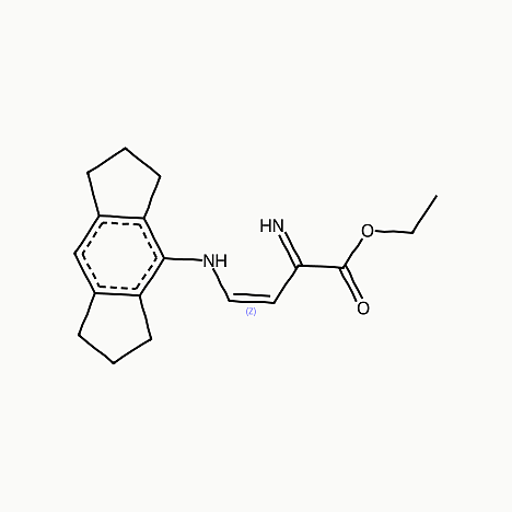 CCOC(=O)C(=N)/C=C\Nc1c2c(cc3c1CCC3)CCC2